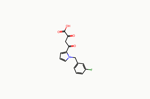 O=C(O)C(=O)CC(=O)c1cccn1Cc1cccc(F)c1